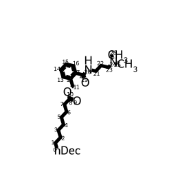 CCCCCCCCCCCCCCCCCC(=O)OCc1ccccc1C(=O)NCCCN(C)C